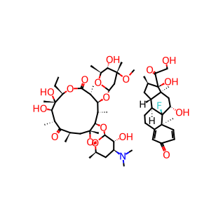 CC[C@H]1OC(=O)[C@H](C)[C@@H](O[C@H]2C[C@@](C)(OC)[C@@H](O)[C@H](C)O2)[C@H](C)[C@@H](O[C@@H]2O[C@H](C)C[C@H](N(C)C)[C@H]2O)[C@](C)(OC)C[C@@H](C)C(=O)[C@H](C)[C@@H](O)[C@]1(C)O.C[C@@H]1C[C@H]2[C@@H]3CCC4=CC(=O)C=C[C@]4(C)[C@@]3(F)[C@@H](O)C[C@]2(C)[C@@]1(O)C(=O)CO